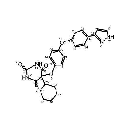 O=C1NC(=O)C(Oc2ccc(Oc3ccc(-c4cc[nH]n4)cc3)cc2)(C2CCCCC2)C(=O)N1